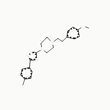 COc1ccc(CCN2CCN(c3nc(-c4ccc(C)cc4)ns3)CC2)cc1